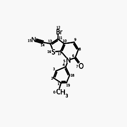 Cc1ccc(-n2c(=O)ccc3c(Br)c(C#N)sc32)cc1